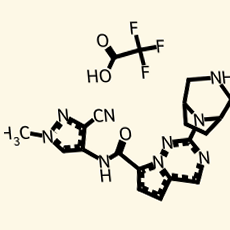 Cn1cc(NC(=O)c2ccc3cnc(N4C5CCC4CNC5)nn23)c(C#N)n1.O=C(O)C(F)(F)F